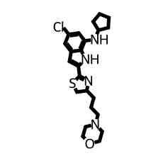 Clc1cc(NC2CCCC2)c2[nH]c(C3=NC(CCCN4CCOCC4)CS3)cc2c1